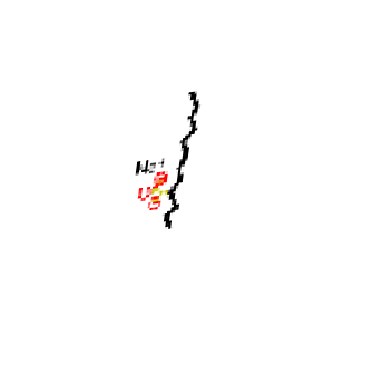 CCCCCCCCC(CCC)S(=O)(=O)[O-].[Na+]